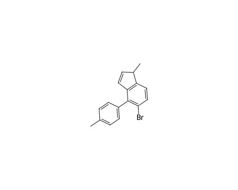 Cc1ccc(-c2c(Br)ccc3c2C=CC3C)cc1